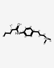 CCC[C@H](C)C(=O)Nc1ccc(CCCN(C)C)cc1